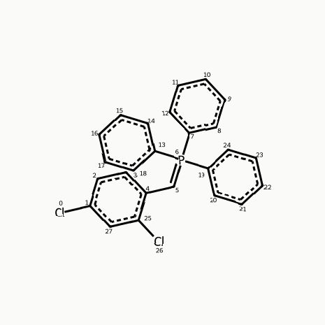 Clc1ccc(C=P(c2ccccc2)(c2ccccc2)c2ccccc2)c(Cl)c1